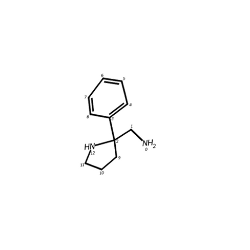 NCC1(c2ccccc2)CCCN1